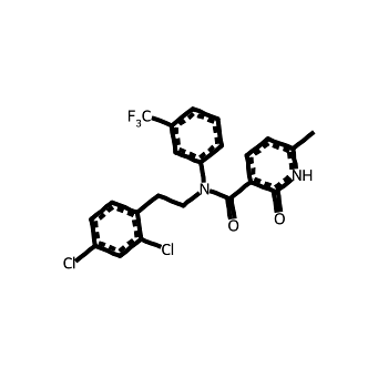 Cc1ccc(C(=O)N(CCc2ccc(Cl)cc2Cl)c2cccc(C(F)(F)F)c2)c(=O)[nH]1